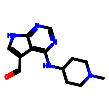 CN1CCC(Nc2ncnc3[nH]cc(C=O)c23)CC1